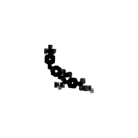 COC(=O)c1ccc(C(C)N2CC3(CCN(Cc4ccc(C(F)(F)F)cc4)CC3)OC2=O)cc1